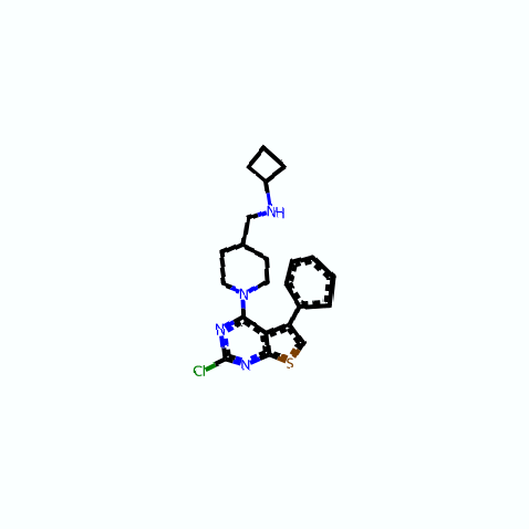 Clc1nc(N2CCC(CNC3CCC3)CC2)c2c(-c3ccccc3)csc2n1